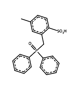 Cc1ccc(S(=O)(=O)O)c(CP(=O)(c2ccccc2)c2ccccc2)c1